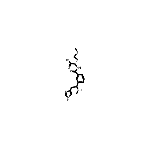 CNC(Cc1c[nH]cn1)c1cccc(C(=O)N[C@@H](CCSC)C(=O)O)c1